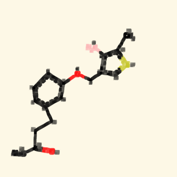 Bc1c(COc2cccc(CCC(=O)OC)c2)csc1C